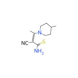 CC(=C(C#N)C(N)=S)N1CCC(C)CC1